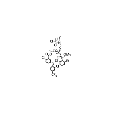 C=CCN(CC=C)C(=O)C(Cl)Cl.CCc1cccc(CC)c1N(COC)C(=O)CCl.C[C@H](OC(=O)c1cc(Oc2ccc(C(F)(F)F)cc2Cl)ccc1Cl)C(=O)O